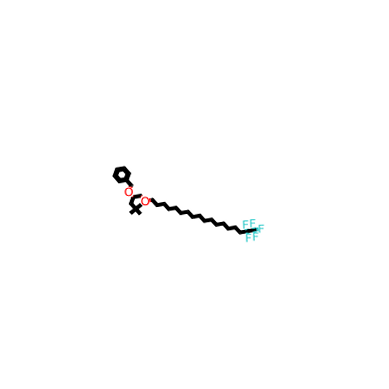 CC(C)(C)CC(COCCCCCCCCCCCCCCCCC(F)(F)C(F)(F)F)OCc1ccccc1